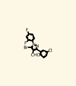 O=Cc1c(-c2cccc(Cl)c2)nn(-c2ccc(F)cc2F)c1Br